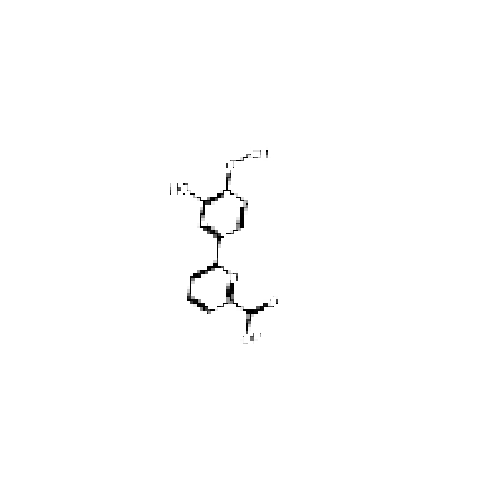 COc1ccc(-c2cccc(C(=O)O)n2)cc1O